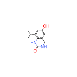 CC(C)c1cc(O)cc2c1NC(=O)NC2